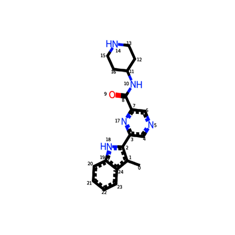 Cc1c(-c2cncc(C(=O)NC3CCNCC3)n2)[nH]c2ccccc12